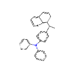 CC(c1ccc(N(C2=CC=CCC2)c2ccccc2)cc1)C1CC=CC2=CC=CCC21